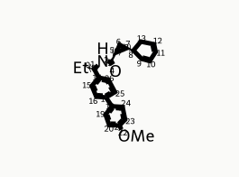 CC[C@H](NC(=O)[C@H]1C[C@@H]1C1C=CC=CC1)c1ccc(-c2ccc(OC)cc2)cc1